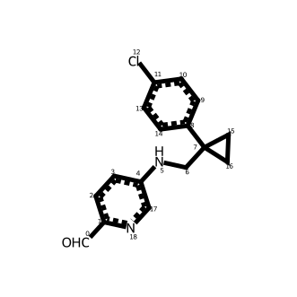 O=Cc1ccc(NCC2(c3ccc(Cl)cc3)CC2)cn1